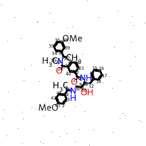 COc1ccc([C@@H](C)NC[C@@H](O)[C@H](Cc2ccccc2)NC(=O)c2cccc(C(=O)N(C)C(C)c3cccc(OC)c3)c2)cc1